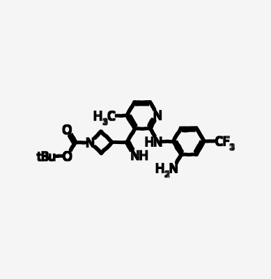 Cc1ccnc(Nc2ccc(C(F)(F)F)cc2N)c1C(=N)C1CN(C(=O)OC(C)(C)C)C1